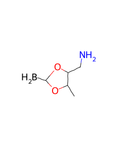 BC1OC(C)C(CN)O1